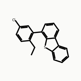 CCc1ccc(Cl)cc1-c1cccc2c1sc1ccccc12